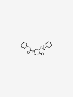 O=C1CCN(C(=O)Cc2ccccc2)CC1ONc1ccccc1